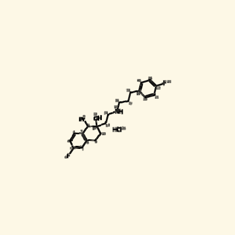 CC(C)C1c2ccc(F)cc2CCC1(O)CCNCCCc1ccc(F)cc1.Cl